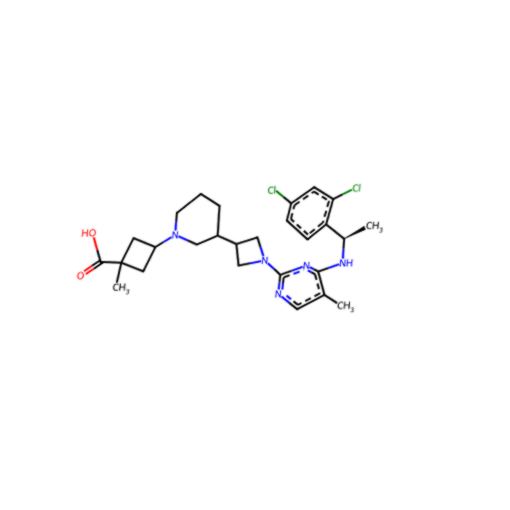 Cc1cnc(N2CC(C3CCCN(C4CC(C)(C(=O)O)C4)C3)C2)nc1N[C@H](C)c1ccc(Cl)cc1Cl